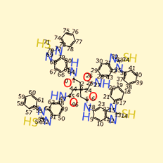 O=C(CC(CC(=O)Nc1ccc2nc(S)n(-c3ccccc3)c2c1)(CC(=O)Nc1ccc2nc(S)n(-c3ccccc3)c2c1)CC(=O)Nc1ccc2nc(S)n(-c3ccccc3)c2c1)Nc1ccc2nc(S)n(-c3ccccc3)c2c1